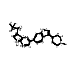 CN1CCC(c2c[nH]c3cc(-c4cnc5[nH]cc(C(=O)C(C)(C)C)c5n4)ccc23)CC1